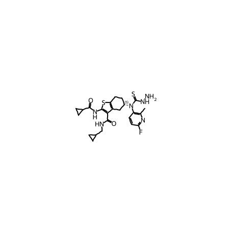 Cc1nc(F)ccc1N(C(=S)NN)[C@H]1CCc2sc(NC(=O)C3CC3)c(C(=O)NCC3CC3)c2C1